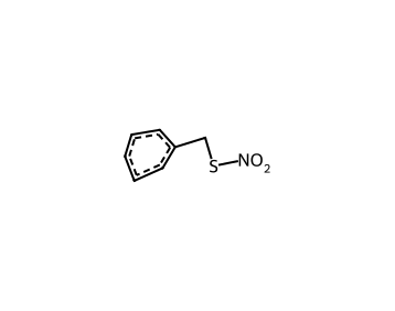 O=[N+]([O-])SCc1ccccc1